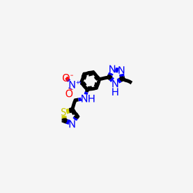 Cc1nnc(-c2ccc([N+](=O)[O-])c(NCc3cncs3)c2)[nH]1